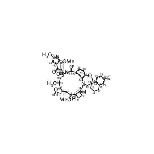 CCCO[C@H]1/C=C/[C@H](OC)[C@@H]2CC[C@H]2CN2C[C@@]3(CCCc4cc(Cl)ccc43)COc3ccc(cc32)C(=O)N=[S@](=O)(NC(=O)c2cn(C)nc2OC)C[C@H]1C